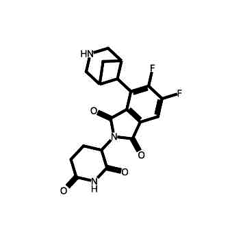 O=C1CCC(N2C(=O)c3cc(F)c(F)c(C4C5CNCC4C5)c3C2=O)C(=O)N1